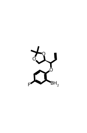 Bc1cc(F)ccc1OC(C=C)[C@H]1COC(C)(C)O1